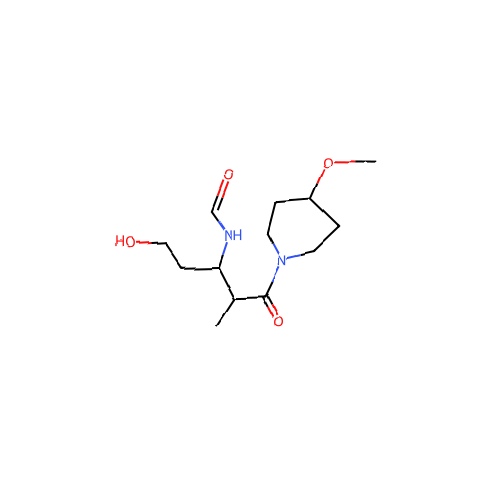 COC1CCN(C(=O)C(C)C(CCO)NC=O)CC1